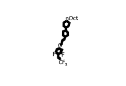 CCCCCCCCC1CCC(C2CCC(/C=C/COc3cc(F)c(/C=C/C(F)(F)F)c(F)c3)CC2)CC1